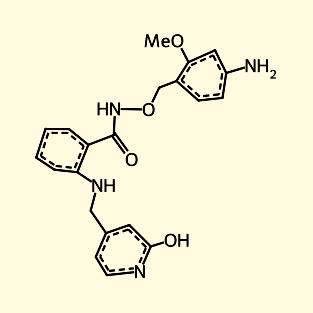 COc1cc(N)ccc1CONC(=O)c1ccccc1NCc1ccnc(O)c1